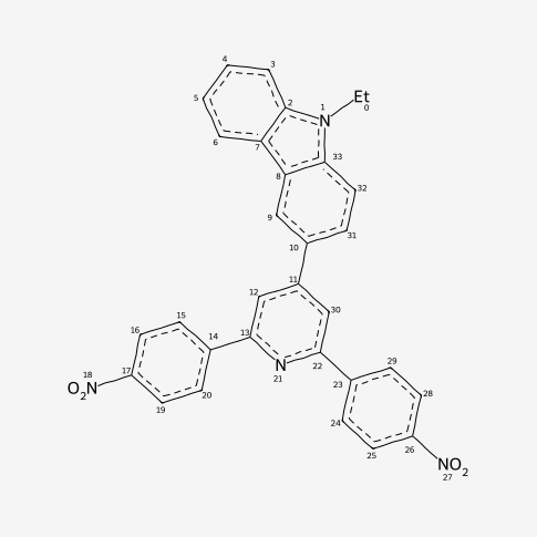 CCn1c2ccccc2c2cc(-c3cc(-c4ccc([N+](=O)[O-])cc4)nc(-c4ccc([N+](=O)[O-])cc4)c3)ccc21